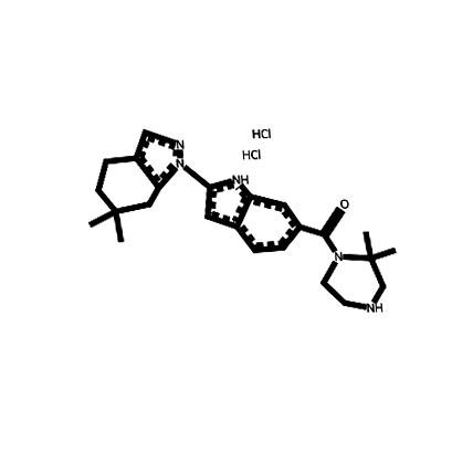 CC1(C)CCc2cnn(-c3cc4ccc(C(=O)N5CCNCC5(C)C)cc4[nH]3)c2C1.Cl.Cl